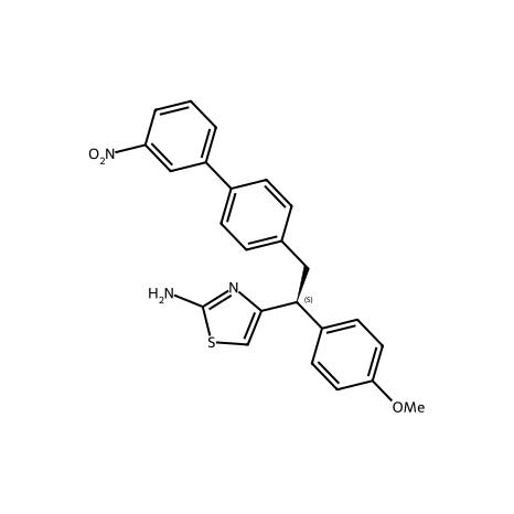 COc1ccc([C@H](Cc2ccc(-c3cccc([N+](=O)[O-])c3)cc2)c2csc(N)n2)cc1